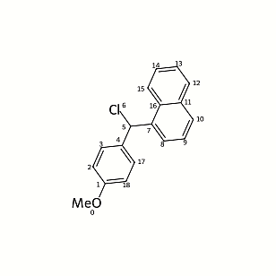 COc1ccc(C(Cl)c2cccc3ccccc23)cc1